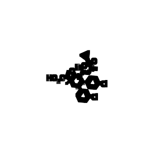 CC[C@@H](CN(C)S(=O)(=O)C1CC1)N1C(=O)[C@](C)(C(C)C(=O)O)C[C@H](c2cccc(Cl)c2)[C@H]1c1ccc(Cl)cc1